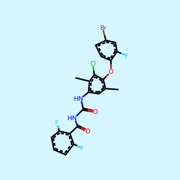 Cc1cc(NC(=O)NC(=O)c2c(F)cccc2F)c(C)c(Cl)c1Oc1ccc(Br)cc1F